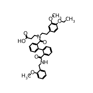 CCOc1ccc(CCN(CCC(=O)O)C(=O)c2ccccc2-c2ccccc2C(=O)NCc2ccccc2OC)cc1OC